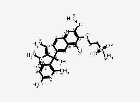 COc1nc2ccc(C(O)(/C(=C/N)N(C)N)c3ccc(C)nc3C)cc2c(Cl)c1OCCS(C)(=O)=O